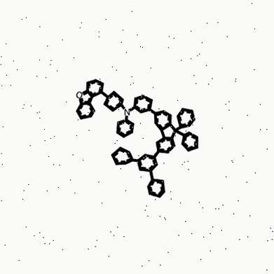 c1ccc(-c2cc(-c3ccccc3)cc(-c3ccc4c(c3)-c3cc(-c5cccc(N(c6ccccc6)c6ccc(-c7cccc8oc9ccccc9c78)cc6)c5)ccc3C4(c3ccccc3)c3ccccc3)c2)cc1